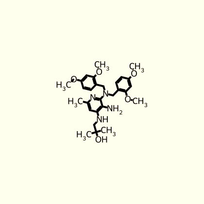 COc1ccc(CN(Cc2ccc(OC)cc2OC)c2nc(C)cc(NCC(C)(C)O)c2N)c(OC)c1